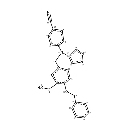 COc1cc(CN(c2ccc(C#N)cc2)n2cnnc2)ccc1OCc1ccccc1